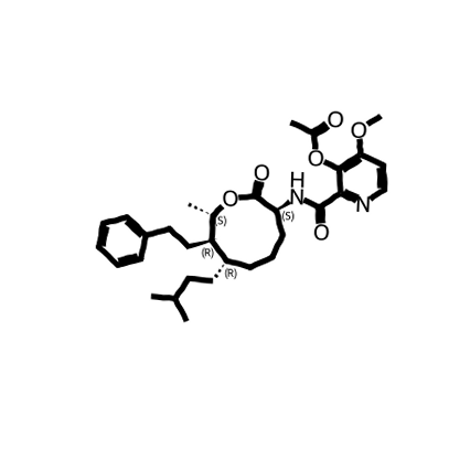 COc1ccnc(C(=O)N[C@H]2CCC[C@H](CCC(C)C)[C@@H](CCc3ccccc3)[C@H](C)OC2=O)c1OC(C)=O